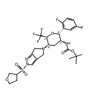 CC(C)(C)OC(=O)N[C@H]1C[C@@H](N2Cc3cn(S(=O)(=O)C4CCOC4)nc3C2)[C@@H](C(F)(F)F)O[C@@H]1c1cc(F)ccc1F